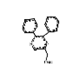 O=CCc1cnc(-c2ccccc2)c(-c2ccccc2)n1